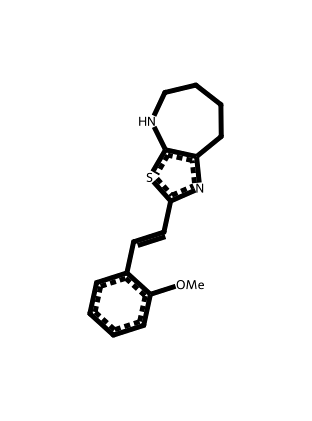 COc1ccccc1C=Cc1nc2c(s1)NCCCC2